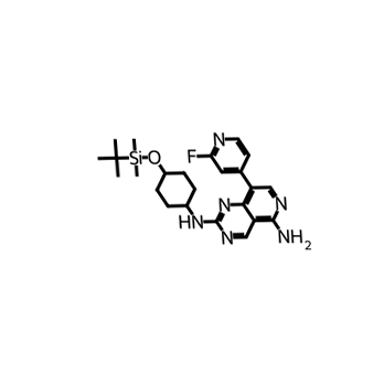 CC(C)(C)[Si](C)(C)OC1CCC(Nc2ncc3c(N)ncc(-c4ccnc(F)c4)c3n2)CC1